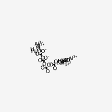 N.N.N.O.O.O.O=C([O-])[O-].O=C([O-])[O-].O=C([O-])[O-].O=C([O-])[O-].[Al+3].[Al+3].[Al+3].[OH-]